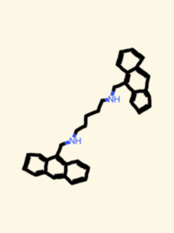 c1ccc2c(CNCCCCCNCc3c4ccccc4cc4ccccc34)c3ccccc3cc2c1